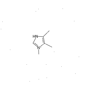 Cc1[nH]c[n+](C)c1C